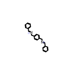 C(=N\Cc1ccc(C/N=C/c2ccccc2)cc1)/c1ccccc1